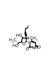 Cc1cc(=O)[nH]c(=O)n1[C@@H]1OC([C@@H](C)O)C(O)[C@]1(F)C#CCF